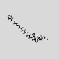 CCCCCCCCCCCCCCCCC=CC1CC(=O)N(CC(O)CC)C1=O